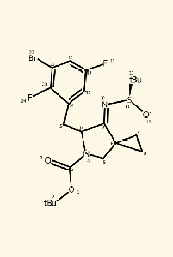 CC(C)(C)OC(=O)N1CC2(CC2)C(=N[S@+]([O-])C(C)(C)C)C1Cc1cc(F)cc(Br)c1F